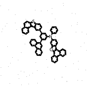 c1ccc(N(c2cc(-c3ccc4sc5ccc6ccccc6c5c4c3)cc(-c3cc4ccccc4c4ccccc34)c2)c2ccc3c(c2)oc2c4ccccc4c4ccccc4c32)cc1